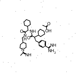 CC(=N)N1CCC(CNC(=O)[C@@H](NC(=O)C(Cc2ccc(C(=N)N)cc2)C2CCCCC2)C2CCCCC2)CC1.CC(=O)O